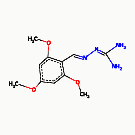 COc1cc(OC)c(C=NN=C(N)N)c(OC)c1